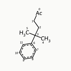 [CH2]C(=O)CCC(C)(C)c1ccccc1